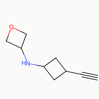 C#CC1CC(NC2COC2)C1